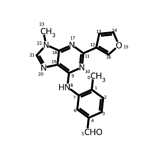 Cc1ccc(C=O)cc1Nc1nc(-c2ccoc2)nc2c1ncn2C